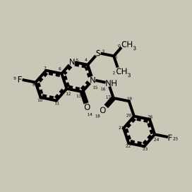 CC(C)Sc1nc2cc(F)ccc2c(=O)n1NC(=O)Cc1cccc(F)c1